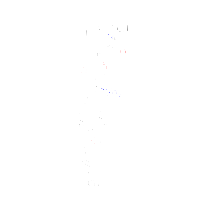 CC#CCOc1ccc(C[C@H](N)C(=O)OCC(=O)N(C)C)cc1